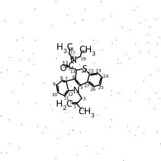 C=C(C)Cn1c2c(c3ccccc31)C([11C](=O)N(CC)CC)Sc1ccccc1-2